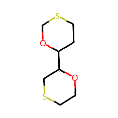 C1CSC[C](C2CCSCO2)O1